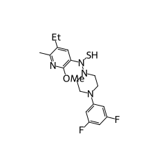 CCc1cc(N(S)N2CCN(c3cc(F)cc(F)c3)CC2)c(OC)nc1C